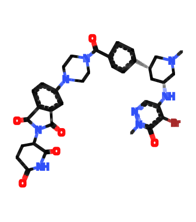 CN1C[C@H](Nc2cnn(C)c(=O)c2Br)C[C@H](c2ccc(C(=O)N3CCN(c4ccc5c(c4)C(=O)N(C4CCC(=O)NC4=O)C5=O)CC3)cc2)C1